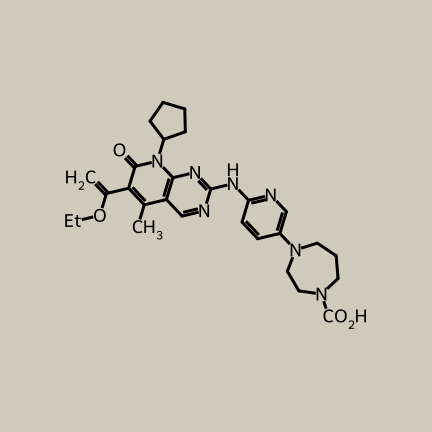 C=C(OCC)c1c(C)c2cnc(Nc3ccc(N4CCCN(C(=O)O)CC4)cn3)nc2n(C2CCCC2)c1=O